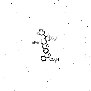 CCCCCN(Cc1ccc(OC(C(=O)O)c2ccccc2)cc1)C(=O)[C@H](CC(=O)O)NC(=O)C(CS)CC(C)C